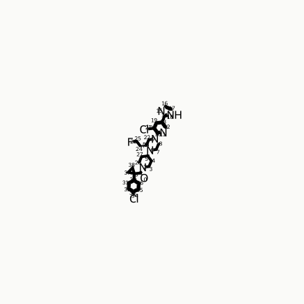 O=C(N1CCC(N2CCN(c3ncc(-c4ncc[nH]4)cc3Cl)C[C@@H]2CCF)CC1)C1(c2ccc(Cl)cc2)CC1